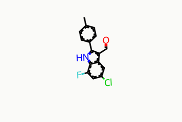 Cc1ccc(-c2[nH]c3c(F)cc(Cl)cc3c2C=O)cc1